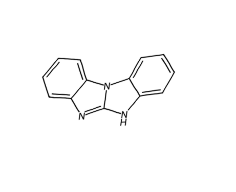 c1ccc2c(c1)nc1[nH]c3ccccc3n12